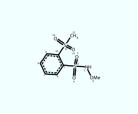 CONS(=O)(=O)c1ccccc1S(C)(=O)=O